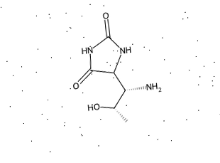 C[C@H](O)[C@@H](N)C1NC(=O)NC1=O